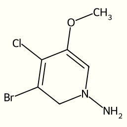 COC1=CN(N)CC(Br)=C1Cl